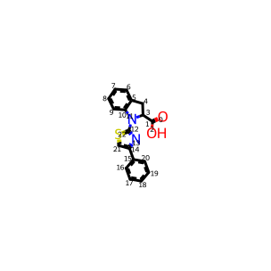 O=C(O)C1Cc2ccccc2N1c1nc(-c2ccccc2)cs1